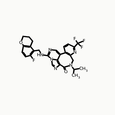 CC(C)N1Cc2nc(C(F)(F)F)ccc2-c2cnc(NCc3c(F)ccc4c3CCCO4)n3cnc(c23)C1=O